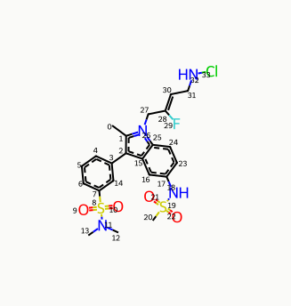 Cc1c(-c2cccc(S(=O)(=O)N(C)C)c2)c2cc(NS(C)(=O)=O)ccc2n1C/C(F)=C/CNCl